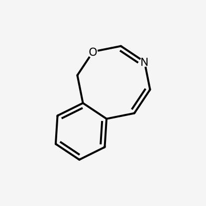 C1=Cc2ccccc2COC=N1